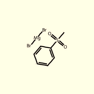 CS(=O)(=O)c1cc[c]cc1.[Br][Mg][Br]